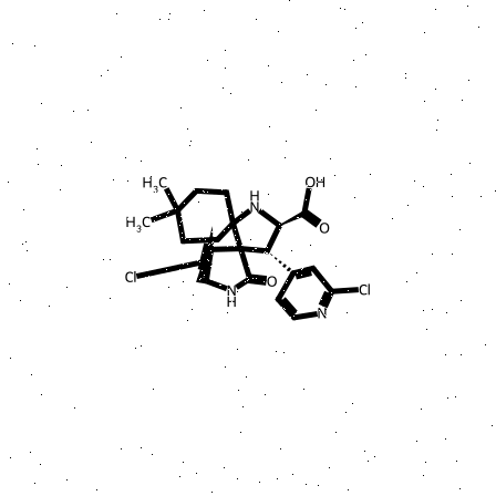 CC1(C)CCC2(CC1)N[C@@H](C(=O)O)[C@H](c1ccnc(Cl)c1)C21C(=O)Nc2cc(Cl)ccc21